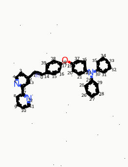 C(=C\c1ccnc(-c2ccccn2)c1)/c1ccc(Oc2ccc(N(c3ccccc3)c3ccccc3)cc2)cc1